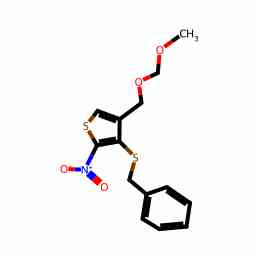 COCOCc1csc([N+](=O)[O-])c1SCc1ccccc1